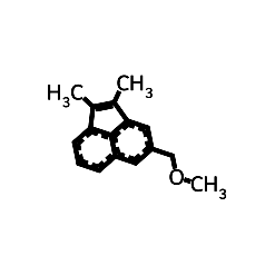 COCc1cc2c3c(cccc3c1)C(C)=C2C